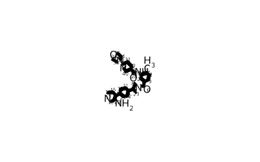 Cc1ccc(C(=O)N2CC(c3ccc(-c4ccncc4N)cc3)C2)cc1NC(=O)c1ccc(N2CCOCC2)nc1